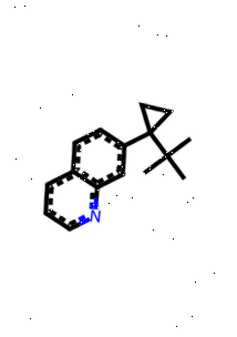 CC(C)(C)C1(c2ccc3cccnc3c2)CC1